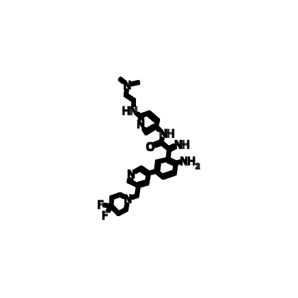 CN(C)CCNc1ccc(NC(=O)C(=N)c2cc(-c3cncc(CN4CCC(F)(F)CC4)c3)ccc2N)cn1